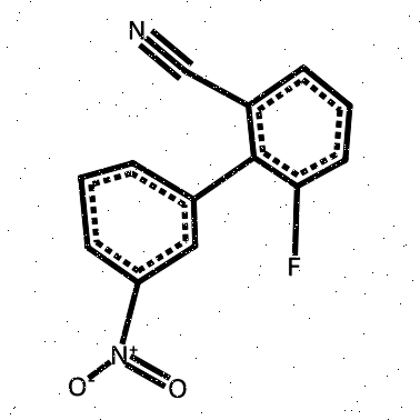 N#Cc1cccc(F)c1-c1cccc([N+](=O)[O-])c1